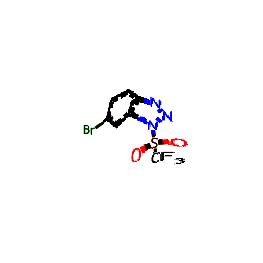 O=S(=O)(n1nnc2ccc(Br)cc21)C(F)(F)F